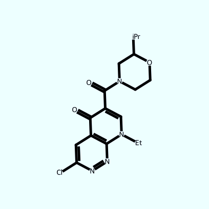 CCn1cc(C(=O)N2CCOC(C(C)C)C2)c(=O)c2cc(Cl)nnc21